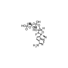 N#C[C@@]1(c2ccc3c(N)ncnn23)O[C@@H]2C(OP(=O)(O)OP(=O)(O)OP(=O)(O)O)[C@]2(O)[C@H]1F